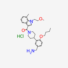 CCCCOc1ccc(CN)cc1C1CCN(C(=O)c2cn(CCOC)c3c(C)cccc23)CC1.Cl